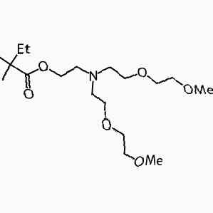 CCC(C)(C)C(=O)OCCN(CCOCCOC)CCOCCOC